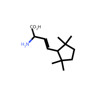 CC1(C)CCC(C)(C)C1C=CC(N)C(=O)O